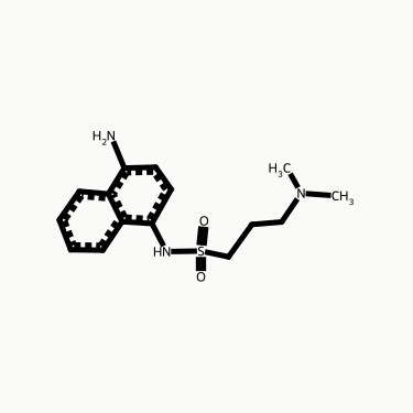 CN(C)CCCS(=O)(=O)Nc1ccc(N)c2ccccc12